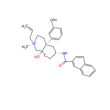 C=CC[N@@+]1(C)CC[C@@]2(c3cccc(OC(C)=O)c3)C[C@H](NC(=O)c3ccc4ccccc4c3)CCC2(O)C1